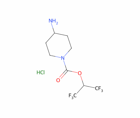 Cl.NC1CCN(C(=O)OC(C(F)(F)F)C(F)(F)F)CC1